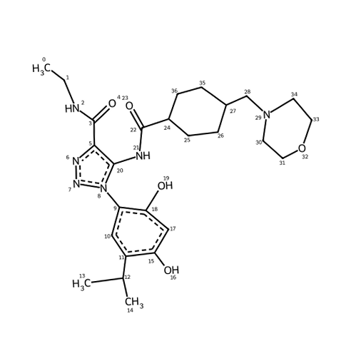 CCNC(=O)c1nnn(-c2cc(C(C)C)c(O)cc2O)c1NC(=O)C1CCC(CN2CCOCC2)CC1